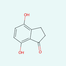 O=C1CCc2c(O)ccc(O)c21